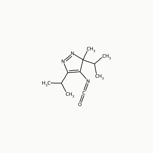 CC(C)C1=C(N=C=O)C(C)(C(C)C)N=N1